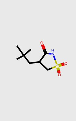 CC(C)(C)CC1CS(=O)(=O)NC1=O